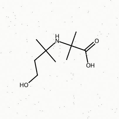 CC(C)(CCO)NC(C)(C)C(=O)O